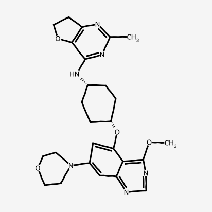 COc1ncnc2cc(N3CCOCC3)cc(O[C@H]3CC[C@@H](Nc4nc(C)nc5c4OCC5)CC3)c12